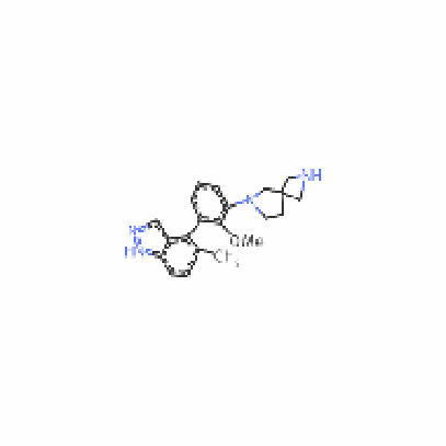 COc1c(-c2c(C)ccc3[nH]ncc23)cccc1N1CCC2(CNC2)C1